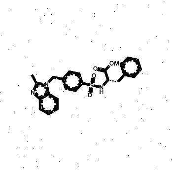 COC(=O)[C@H](Cc1ccccc1)NS(=O)(=O)c1ccc(Cn2c(C)nc3ccccc32)cc1